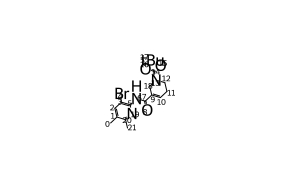 Cc1cc(Br)c(NC(=O)C2=CCCN(C(=O)OC(C)(C)C)C2)nc1C